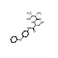 C[C@H](C(=O)N[C@@H](CS)C(=O)Nc1ccc(Oc2ccccc2)cc1)[C@@H](C)O